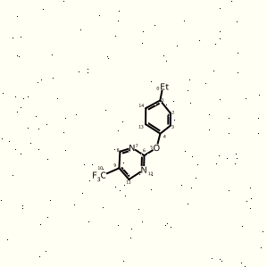 CCc1ccc(Oc2ncc(C(F)(F)F)cn2)cc1